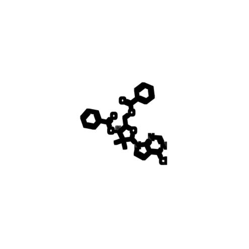 CC1(C)C(n2ccc3c(Cl)ncnc32)OC(COC(=O)c2ccccc2)[C@H]1OC(=O)c1ccccc1